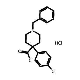 Cl.O=C(Cl)C1(c2ccc(Cl)cc2)CCN(Cc2ccccc2)CC1